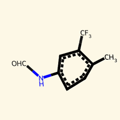 Cc1ccc(NC=O)cc1C(F)(F)F